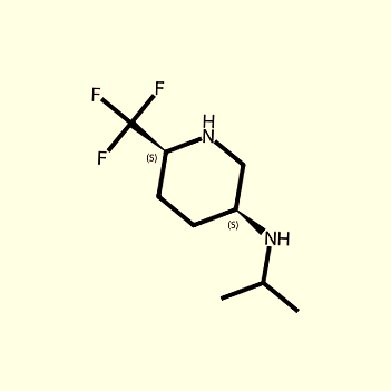 CC(C)N[C@H]1CC[C@@H](C(F)(F)F)NC1